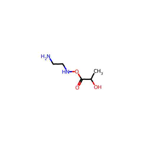 CC(O)C(=O)ONCCN